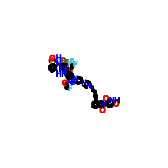 C=C(F)C(=O)Nc1cc(Nc2ncc(Br)c(Nc3ccccc3P(C)(C)=O)n2)c(OCC(F)(F)F)cc1N1CCC(N2CCN(CCCC#Cc3cccc4c3CN(C3CCC(=O)NC3=O)C4=O)CC2)CC1